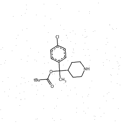 CC(C)(C)C(=O)OC(C)(c1ccc(Cl)cc1)C1CCNCC1